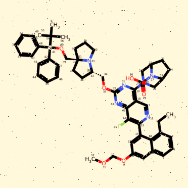 CCc1cccc2cc(OCOC)cc(-c3ncc4c(N5CC6CCC(C5)N6C(=O)O)nc(OC[C@@H]5CC[C@]6(CO[Si](c7ccccc7)(c7ccccc7)C(C)(C)C)CCCN56)nc4c3F)c12